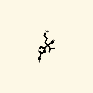 CC(C)C(C#N)(CCCO)c1csc(C#N)c1